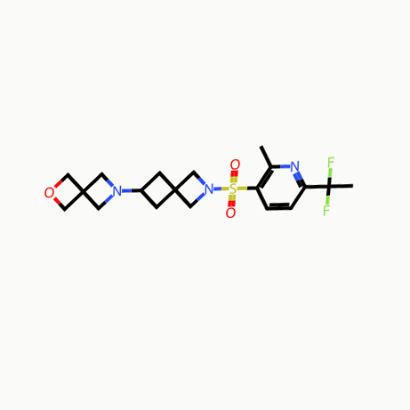 Cc1nc(C(C)(F)F)ccc1S(=O)(=O)N1CC2(CC(N3CC4(COC4)C3)C2)C1